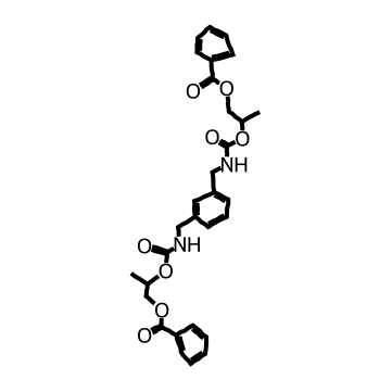 CC(COC(=O)c1ccccc1)OC(=O)NCc1cccc(CNC(=O)OC(C)COC(=O)c2ccccc2)c1